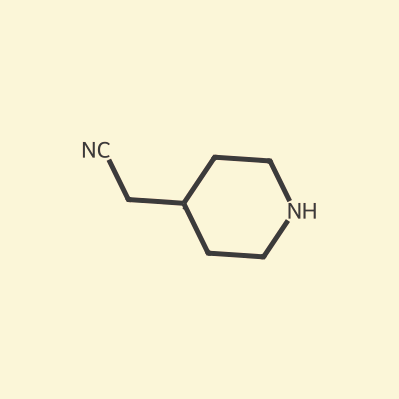 N#CC[C]1CCNCC1